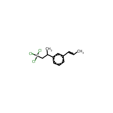 CC=Cc1cccc(C(C)C[Si](Cl)(Cl)Cl)c1